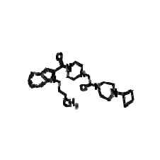 CCCCn1c(C(=O)N2CCN(CC(=O)N3CCN(C4CCC4)CC3)CC2)cc2ccccc21